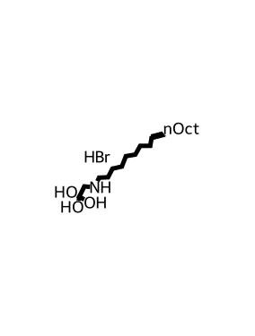 Br.CCCCCCCCC=CCCCCCCCCNCC(O)(O)O